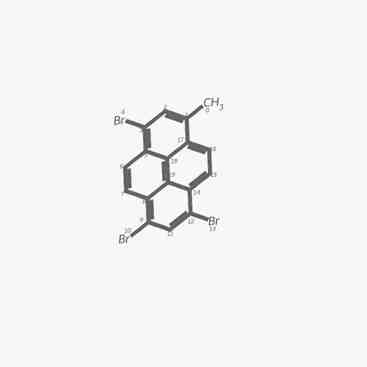 Cc1cc(Br)c2ccc3c(Br)cc(Br)c4ccc1c2c43